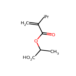 C=C(C(=O)OC(C)C(=O)O)C(C)C